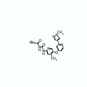 Cc1cc(NC(=O)NC(=O)C(C)(C)C)ncc1Oc1ccnc(-c2cnn(C)c2)c1